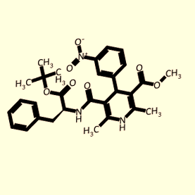 COC(=O)C1=C(C)NC(C)=C(C(=O)N[C@@H](Cc2ccccc2)C(=O)OC(C)(C)C)C1c1cccc([N+](=O)[O-])c1